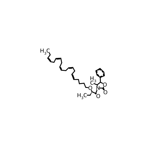 CC/C=C\C/C=C\C/C=C\C/C=C\C/C=C\CCCCO[C@H](CC)C(=O)N1C(=O)OC(c2ccccc2)C1C